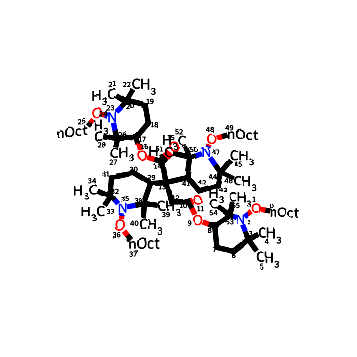 CCCCCCCCON1C(C)(C)CCC(OC(=O)CC(C(=O)OC2CCC(C)(C)N(OCCCCCCCC)C2(C)C)(C2CCC(C)(C)N(OCCCCCCCC)C2(C)C)C2CCC(C)(C)N(OCCCCCCCC)C2(C)C)C1(C)C